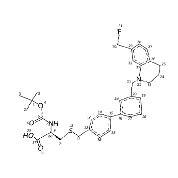 CC(C)(C)OC(=O)N[C@@H](CSCc1ccc(-c2cccc(CN3CCCc4ccc(CF)cc43)c2)cc1)C(=O)O